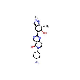 Cc1c(O)c(-c2ncc3c(=O)n([C@H]4CC[C@@H](N)CC4)ccc3n2)cc2cn(C)nc12